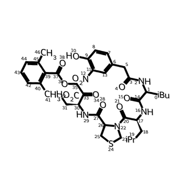 CCC(C)C(NC(=O)Cc1ccc(O)c([N+](=O)[O-])c1)C(=O)N[C@@H](CC(C)C)C(=O)N1CSCC1C(=O)N[C@@H](CC(=O)O)C(=O)COC(=O)c1c(C)cccc1C